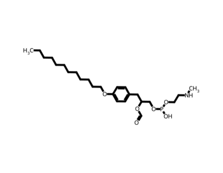 CCCCCCCCCCCCOc1ccc(CC(COP(O)OCCNC)OC=O)cc1